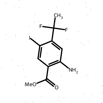 COC(=O)c1cc(I)c(C(C)(F)F)cc1N